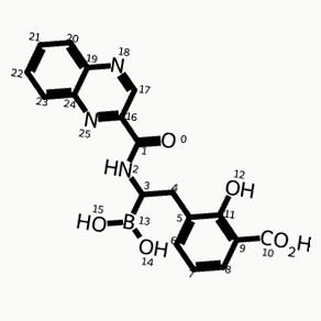 O=C(NC(Cc1cccc(C(=O)O)c1O)B(O)O)c1cnc2ccccc2n1